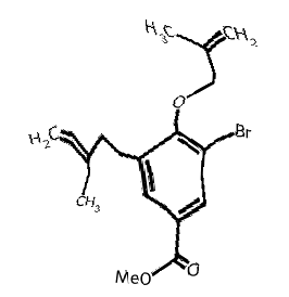 C=C(C)COc1c(Br)cc(C(=O)OC)cc1CC(=C)C